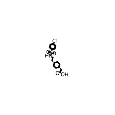 O=C(O)C[C@H]1CC[C@@H](CCNS(=O)(=O)c2ccc(Cl)cc2)CC1